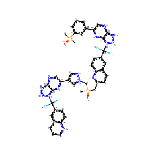 CP(=O)(Cc1ccc2cc(C(F)(F)n3nnc4ncc(-c5cccc(P(C)(C)=O)c5)nc43)ccc2n1)Cn1cc(-c2cnc3nnn(C(F)(F)c4ccc5ncccc5c4)c3n2)cn1